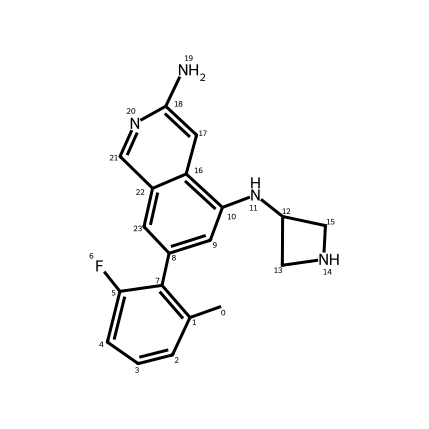 Cc1cccc(F)c1-c1cc(NC2CNC2)c2cc(N)ncc2c1